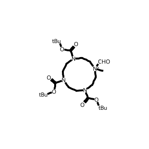 CC(C)(C)OC(=O)N1CCN(C(=O)OC(C)(C)C)CC[N+](C)(C=O)CCN(C(=O)OC(C)(C)C)CC1